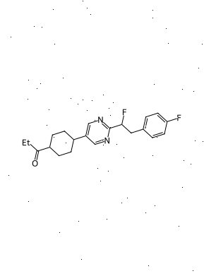 CCC(=O)C1CCC(c2cnc(C(F)Cc3ccc(F)cc3)nc2)CC1